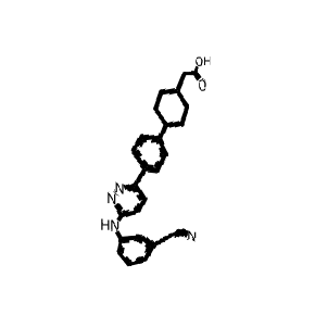 N#Cc1cccc(Nc2ccc(-c3ccc(C4CCC(CC(=O)O)CC4)cc3)nn2)c1